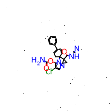 N#CNC(=O)C1(C2(n3ncc(Cl)c3OC(N)=O)C=CC(c3ccccc3)=CC2)CC1